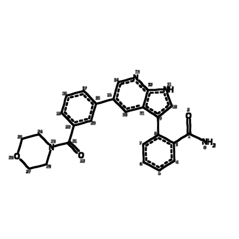 NC(=O)c1ccccc1-c1c[nH]c2ncc(-c3cccc(C(=O)N4CCOCC4)c3)cc12